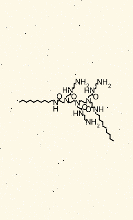 CCCCCCCCCCNC(=O)CN(CCN(CCN(CC(=O)NCCN)CC(=O)NCCCCCCCCCC)CC(=O)NCCN)CC(=O)NCCN